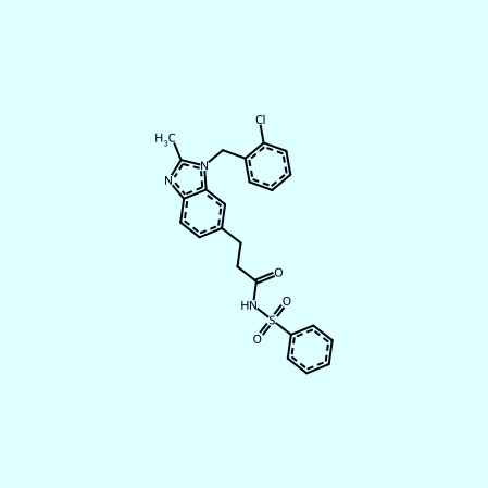 Cc1nc2ccc(CCC(=O)NS(=O)(=O)c3ccccc3)cc2n1Cc1ccccc1Cl